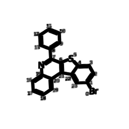 Brc1ccc2sc3c(-c4ccccc4)nc4ccccc4c3c2c1